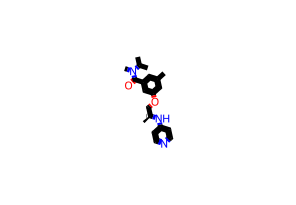 Cc1cc(OC[C@H](C)Nc2ccncc2)cc(C(=O)N(C)C(C)C)c1